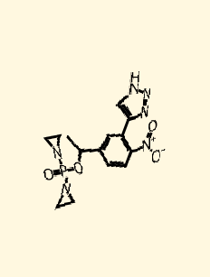 CC(OP(=O)(N1CC1)N1CC1)c1ccc([N+](=O)[O-])c(-c2c[nH]nn2)c1